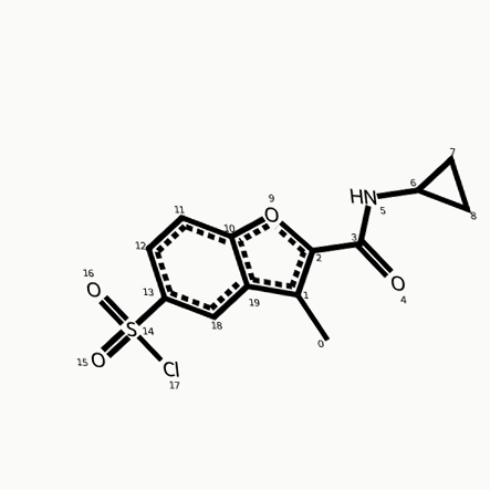 Cc1c(C(=O)NC2CC2)oc2ccc(S(=O)(=O)Cl)cc12